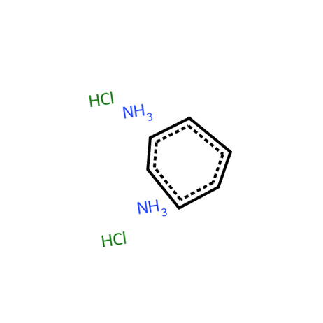 Cl.Cl.N.N.c1ccccc1